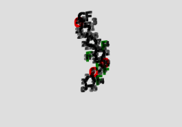 Cc1ccc(OCC(F)(F)Oc2cc(F)c(-c3ccc(C4CC=C(OC(F)(F)F)CC4)cc3)c(F)c2)c(F)c1